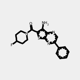 Nc1c(C(=O)N2CCC(F)CC2)sc2nc(-c3ccccc3)cnc12